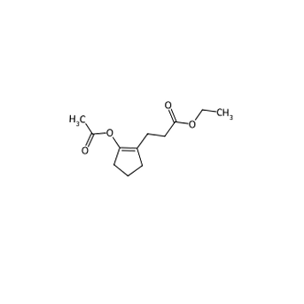 CCOC(=O)CCC1=C(OC(C)=O)CCC1